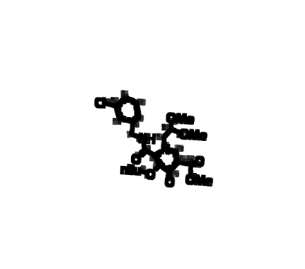 CCCCOc1c(C(=O)NCc2cccc(Cl)c2)n(CC(OC)OC)cc(C(=O)OC)c1=O